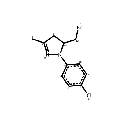 CC1=NN(c2ccc(Cl)cc2)C(CBr)C1